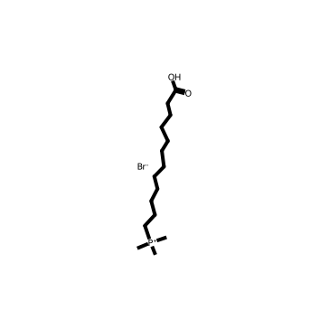 C[P+](C)(C)CCCCCCCCCCCC(=O)O.[Br-]